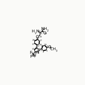 COc1ccc(-n2nc(C(F)(F)F)cc2-c2ccc(OCC(N)C(N)=O)cc2)cc1